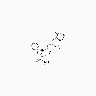 CNC(=O)[C@@](C)(Cc1ccccc1)NC(=O)C[C@H](N)Cc1ccccc1F